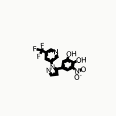 O=[N+]([O-])c1cc(-c2ccnn2-c2cncc(C(F)(F)F)c2)cc(O)c1O